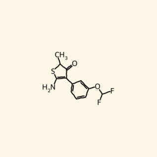 CC1SC(N)=C(c2cccc(OC(F)F)c2)C1=O